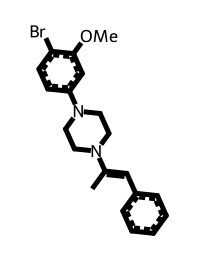 COc1cc(N2CCN(C(C)=Cc3ccccc3)CC2)ccc1Br